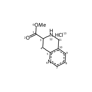 COC(=O)C1Cc2ncccc2CN1.Cl